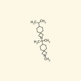 CC(C)C1CCC2(CC1)CN(C(C)(C)C1CCC3(CC1)CN(C)C3)C2